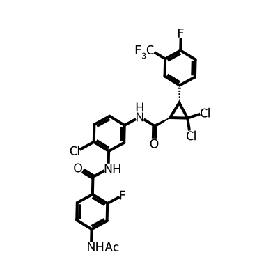 CC(=O)Nc1ccc(C(=O)Nc2cc(NC(=O)[C@H]3[C@H](c4ccc(F)c(C(F)(F)F)c4)C3(Cl)Cl)ccc2Cl)c(F)c1